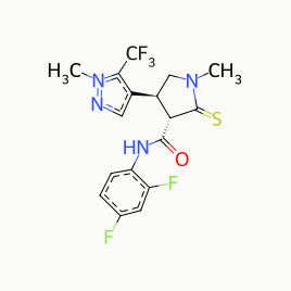 CN1C[C@H](c2cnn(C)c2C(F)(F)F)[C@@H](C(=O)Nc2ccc(F)cc2F)C1=S